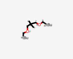 CC(C)(C)COCC(C)(C)COCC(C)(C)C